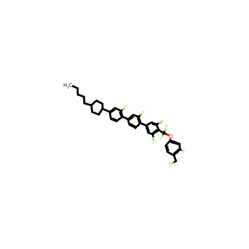 CCCCCC1CCC(c2ccc(-c3ccc(-c4cc(F)c(C(F)(F)Oc5ccc(CF)c(F)c5)c(F)c4)c(F)c3)c(F)c2)CC1